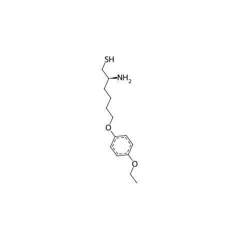 CCOc1ccc(OCCCC[C@H](N)CS)cc1